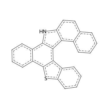 c1ccc2c(c1)ccc1[nH]c3c4ccccc4c4sc5ccccc5c4c3c12